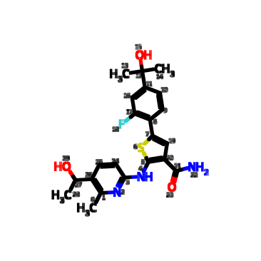 Cc1nc(Nc2sc(-c3ccc(C(C)(C)O)cc3F)cc2C(N)=O)ccc1C(C)O